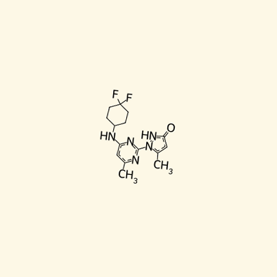 Cc1cc(NC2CCC(F)(F)CC2)nc(-n2[nH]c(=O)cc2C)n1